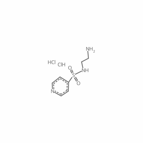 Cl.Cl.NCCNS(=O)(=O)c1ccncc1